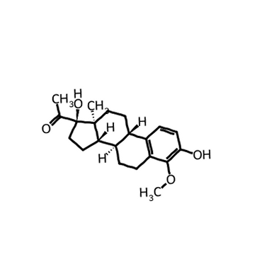 COc1c(O)ccc2c1CC[C@@H]1[C@@H]2CC[C@@]2(C)[C@H]1CC[C@]2(O)C(C)=O